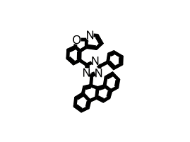 c1ccc(-c2nc(-c3cccc4oc5ncccc5c34)nc(-c3cc4ccccc4c4ccc5ccccc5c34)n2)cc1